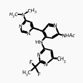 CC(=O)Nc1cc(Nc2cc(C)nc(C(C)(F)F)n2)c(-c2cc(N(C)C)ncn2)cn1